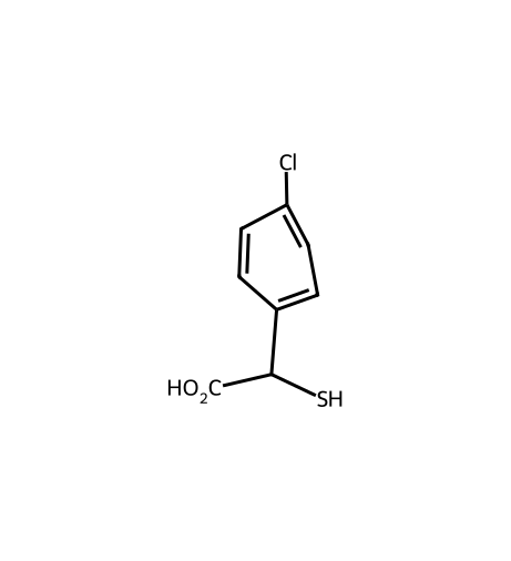 O=C(O)C(S)c1ccc(Cl)cc1